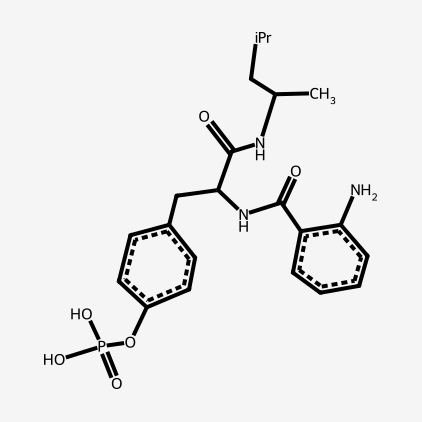 CC(C)CC(C)NC(=O)C(Cc1ccc(OP(=O)(O)O)cc1)NC(=O)c1ccccc1N